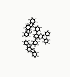 c1ccc(-c2nc3c(-c4cccc(-n5c6ccccc6c6ccc7c8ccccc8oc7c65)c4)cnc(-c4cccc(-n5c6ccccc6c6ccc7c8ccccc8oc7c65)c4)c3nc2-c2ccccc2)cc1